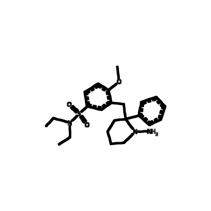 CCN(CC)S(=O)(=O)c1ccc(OC)c(CC2(c3ccccc3)CCCCN2N)c1